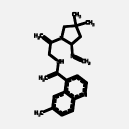 C=NC1CC(C)(C)CN1C(=C)CNC(=C)c1ccnc2ccc(C)cc12